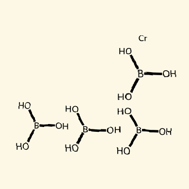 OB(O)O.OB(O)O.OB(O)O.OB(O)O.[Cr]